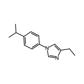 CCc1cn(-c2ccc(C(C)C)cc2)cn1